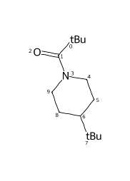 CC(C)(C)C(=O)N1CCC(C(C)(C)C)CC1